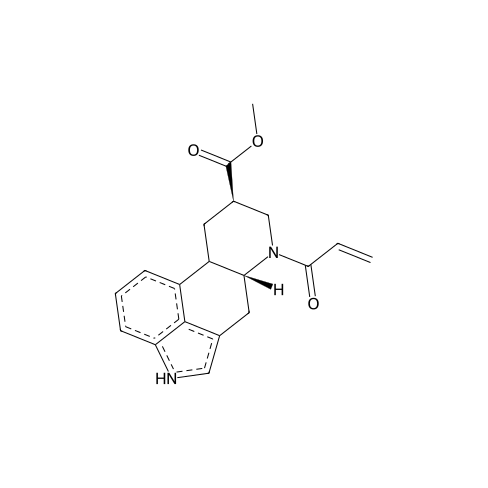 C=CC(=O)N1C[C@H](C(=O)OC)CC2c3cccc4[nH]cc(c34)C[C@H]21